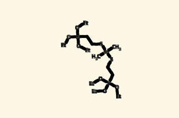 CCO[Si](CC[S][Sn]([CH3])([CH3])[S]CC[Si](OCC)(OCC)OCC)(OCC)OCC